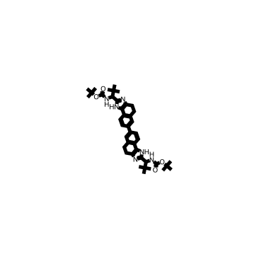 CC(C)(C)OC(=O)NC(c1nc2c([nH]1)-c1ccc(-c3ccc4c(c3)CCc3nc(C(NC(=O)OC(C)(C)C)C(C)(C)C)[nH]c3-4)cc1CC2)C(C)(C)C